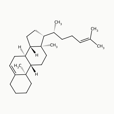 CC(C)=CCC[C@@H](C)[C@H]1CC[C@H]2[C@@H]3CC=C4CCCC[C@]4(C)[C@H]3CC[C@]12C